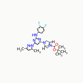 Cc1cc(C)n(-c2cc(N3C[C@H]4C[C@@H]3CN4C(=O)OC(C)(C)C)nc(Nc3ccc(F)c(F)c3)n2)n1